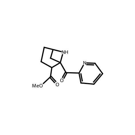 COC(=O)C1CCC2CC1(C(=O)c1ccccn1)N2